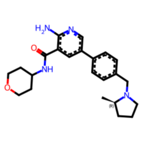 C[C@@H]1CCCN1Cc1ccc(-c2cnc(N)c(C(=O)NC3CCOCC3)c2)cc1